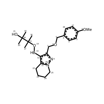 COc1ccc(COCc2nn3c(c2BOC(C)(C)C(C)(C)O)CCCC3)cc1